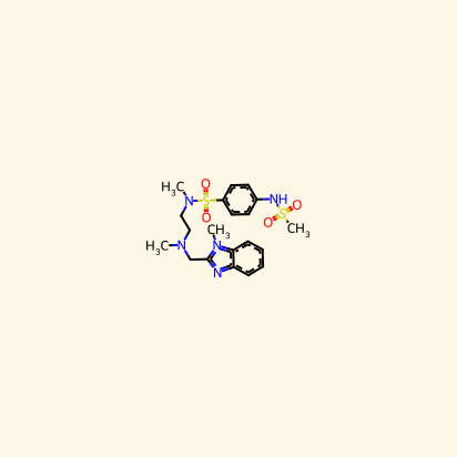 CN(CCN(C)S(=O)(=O)c1ccc(NS(C)(=O)=O)cc1)Cc1nc2ccccc2n1C